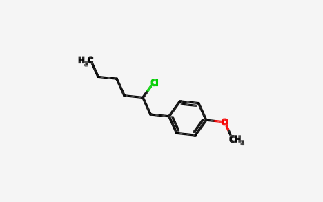 CCCCC(Cl)Cc1ccc(OC)cc1